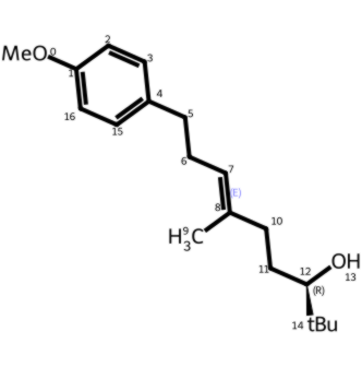 COc1ccc(CC/C=C(\C)CC[C@@H](O)C(C)(C)C)cc1